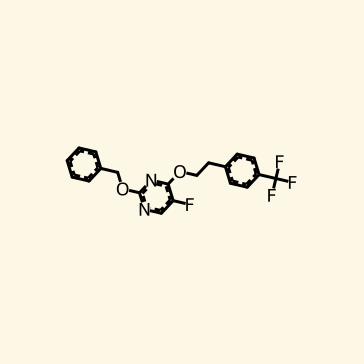 Fc1cnc(OCc2ccccc2)nc1OCCc1ccc(C(F)(F)F)cc1